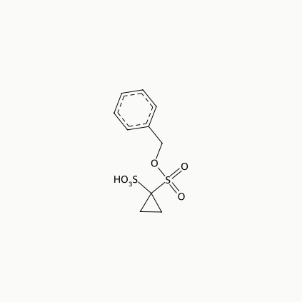 O=S(=O)(O)C1(S(=O)(=O)OCc2ccccc2)CC1